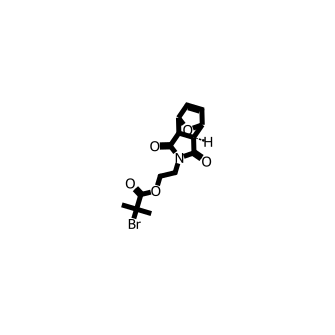 CC(C)(Br)C(=O)OCCN1C(=O)C2C3C=CC(O3)[C@H]2C1=O